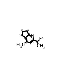 Cc1cc(C(C)F)nc2c1CCC2